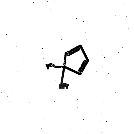 CCC[C]1([Y+2])C=CC=C1